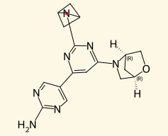 Nc1ncc(-c2cc(N3C[C@H]4C[C@@H]3CO4)nc(N3CC4CC3C4)n2)cn1